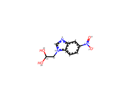 O=[N+]([O-])c1ccc2c(c1)n[c]n2CC(O)O